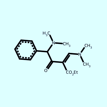 CCOC(=O)C(=CN(C)C)C(=O)C(c1ccccc1)N(C)C